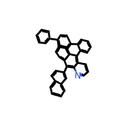 c1ccc(-c2ccc(-c3ccccc3-c3c4ccccc4c(-c4ccc5ccccc5c4)c4ncccc34)cc2)cc1